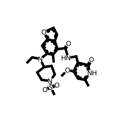 CCN(c1cc2occc2c(C(=O)NCc2c(OC)cc(C)[nH]c2=O)c1C)C1CCN(S(C)(=O)=O)CC1